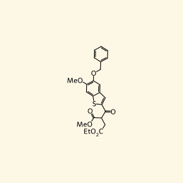 CCOC(=O)CC(C(=O)OC)C(=O)c1cc2cc(OCc3ccccc3)c(OC)cc2s1